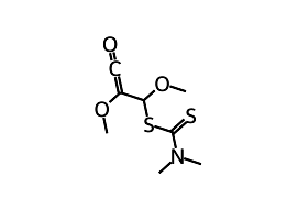 COC(=C=O)C(OC)SC(=S)N(C)C